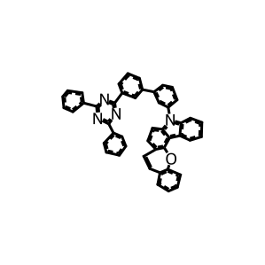 C1=Cc2ccc3c(c2Oc2ccccc21)c1ccccc1n3-c1cccc(-c2cccc(-c3nc(-c4ccccc4)nc(-c4ccccc4)n3)c2)c1